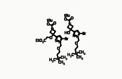 CC(C)(C)OC(=O)N1CC(O)(c2cc(Br)n(COCC[Si](C)(C)C)n2)C1.CCOC(=O)COC1(c2cc(Br)n(COCC[Si](C)(C)C)n2)CN(C(=O)OC(C)(C)C)C1